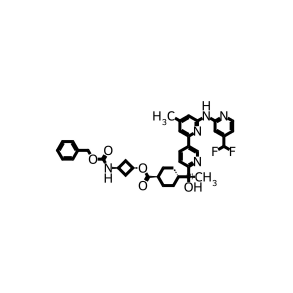 Cc1cc(Nc2cc(C(F)F)ccn2)nc(-c2ccc([C@](C)(O)[C@H]3CC[C@H](C(=O)O[C@H]4C[C@H](NC(=O)OCc5ccccc5)C4)CC3)nc2)c1